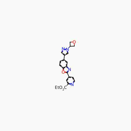 CCOC(=O)c1cc(-c2nc3cc(-c4cnn(C5COC5)c4)ccc3o2)ccn1